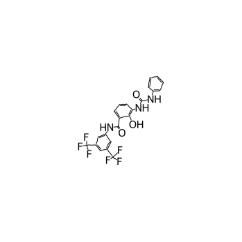 O=C(Nc1ccccc1)Nc1cccc(C(=O)Nc2cc(C(F)(F)F)cc(C(F)(F)F)c2)c1O